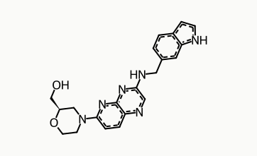 OC[C@H]1CN(c2ccc3ncc(NCc4ccc5cc[nH]c5c4)nc3n2)CCO1